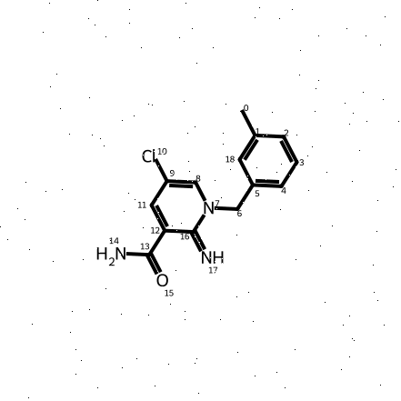 Cc1cccc(Cn2cc(Cl)cc(C(N)=O)c2=N)c1